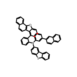 c1cc(-c2ccc3ccccc3c2)cc(N(c2ccc3sc4ccccc4c3c2)c2ccccc2-c2cccc3oc4c5ccccc5ccc4c23)c1